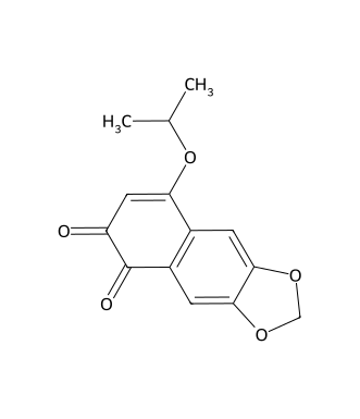 CC(C)OC1=CC(=O)C(=O)c2cc3c(cc21)OCO3